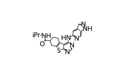 CC(C)NC(=O)C1CCc2c(sc3ncnc(Nc4cc5cn[nH]c5cn4)c23)C1